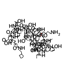 CC[C@H](C)[C@H](NC(=O)[C@H](CO)NC(=O)[C@H](Cc1ccc(O)cc1)NC(=O)[C@H](CC(=O)O)NC(=O)[C@H](CO)NC(=O)[C@@H](NC(=O)[C@H](Cc1ccccc1)NC(=O)[C@@H](NC(=O)CNC(=O)[C@H](CCC(=O)O)NC(=O)CSCC(=O)NCCC1CCCC1)[C@@H](C)O)[C@@H](C)O)C(=O)N[C@@H](Cc1ccc(O)cc1)C(=O)N[C@@H](CC(C)C)C(=O)N[C@@H](CC(=O)O)C(=O)N[C@H](C)CCCCN